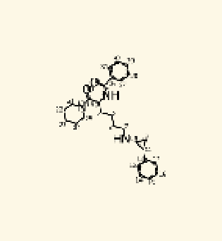 O=C(NC(CCCCN[C@@H]1C[C@H]1c1ccccc1)C(=O)N1CCCCC1)c1ccccc1